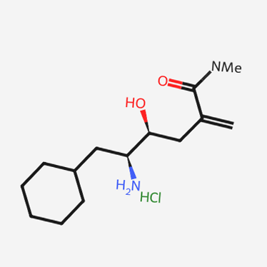 C=C(C[C@H](O)[C@@H](N)CC1CCCCC1)C(=O)NC.Cl